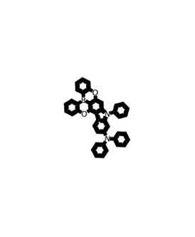 c1ccc(N(c2ccccc2)c2ccc3c4c5c6c(cc4n(-c4ccccc4)c3c2)Oc2ccccc2B6c2ccccc2O5)cc1